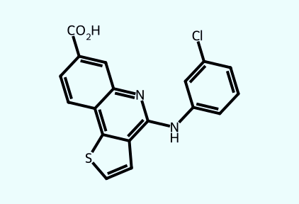 O=C(O)c1ccc2c(c1)nc(Nc1cccc(Cl)c1)c1ccsc12